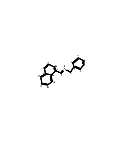 C(=N\Cc1ccccc1)/c1cccc2ccccc12